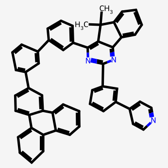 CC1(C)c2ccccc2-c2nc(-c3cccc(-c4ccncc4)c3)nc(-c3cccc(-c4cccc(-c5ccc6c7ccccc7c7ccccc7c6c5)c4)c3)c21